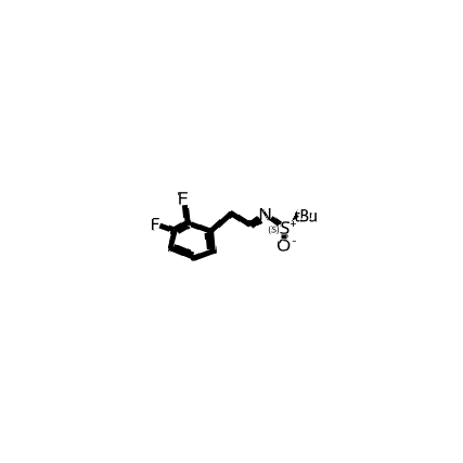 CC(C)(C)[S@@+]([O-])N=CCc1cccc(F)c1F